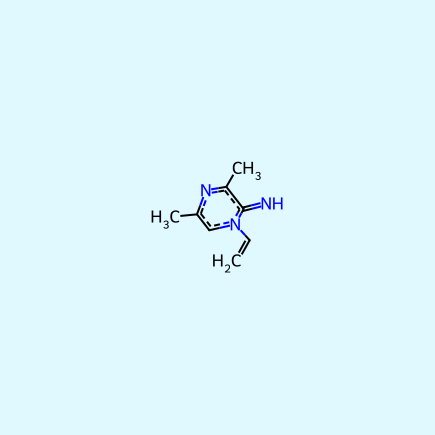 C=Cn1cc(C)nc(C)c1=N